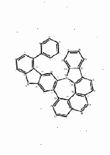 c1ccc(-c2cccc3sc4cc5c6cccc7ccc8ccc9c%10ccccc%10n(c5cc4c23)c9c8c76)cc1